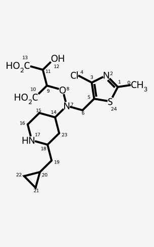 Cc1nc(Cl)c(CN(OC(C(=O)O)C(O)C(=O)O)C2CCNC(CC3CC3)C2)s1